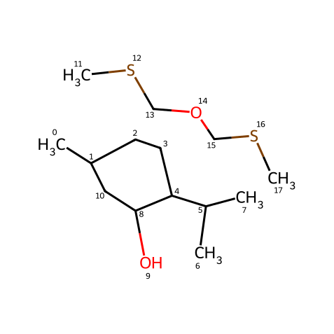 CC1CCC(C(C)C)C(O)C1.CSCOCSC